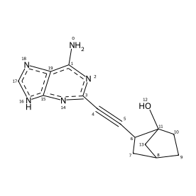 Nc1nc(C#CC2CC3CCC2(O)C3)nc2[nH]cnc12